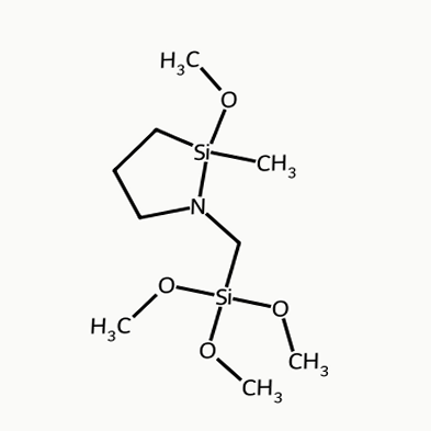 CO[Si](CN1CCC[Si]1(C)OC)(OC)OC